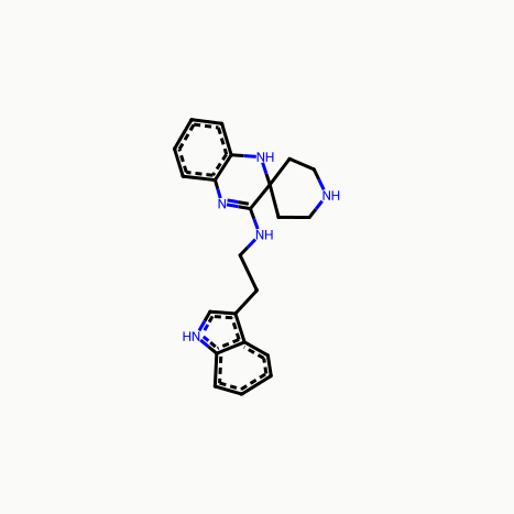 c1ccc2c(c1)N=C(NCCc1c[nH]c3ccccc13)C1(CCNCC1)N2